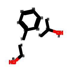 CC(C)O.CCO.Cc1ccccc1